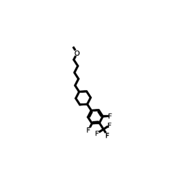 COCCCCCC1CCC(c2cc(F)c(C(F)(F)F)c(F)c2)CC1